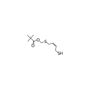 CC(C)(C)C(=O)OCSC/C=C\CS